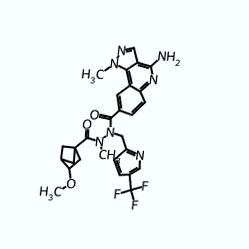 COC1CC2(C(=O)N(C)N(Cc3ccc(C(F)(F)F)cn3)C(=O)c3ccc4nc(N)c5cnn(C)c5c4c3)CC1C2